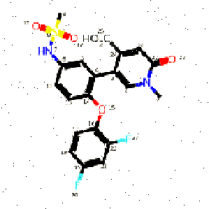 Cn1cc(-c2cc(NS(C)(=O)=O)ccc2Oc2ccc(F)cc2F)c(C(=O)O)cc1=O